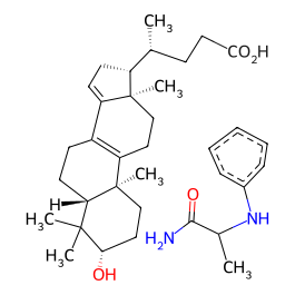 CC(Nc1ccccc1)C(N)=O.C[C@H](CCC(=O)O)[C@H]1CC=C2C3=C(CC[C@@]21C)[C@@]1(C)CC[C@H](O)C(C)(C)[C@@H]1CC3